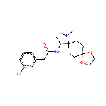 Cc1ccc(CC(=O)NC(C)C2(N(C)C)CCC3(CC2)OCCO3)cc1Cl